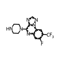 Fc1cc2nc(N3CCNCC3)c3ncnn3c2cc1C(F)(F)F